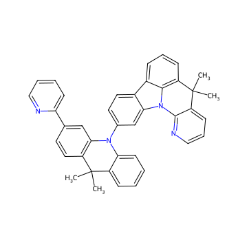 CC1(C)c2ccccc2N(c2ccc3c4cccc5c4n(c3c2)-c2ncccc2C5(C)C)c2cc(-c3ccccn3)ccc21